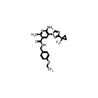 Nc1nc(N)c(-n2cnc(C3(C(F)(F)F)CC3)n2)cc1C(=O)NCc1ccc(OCC(F)(F)F)cc1